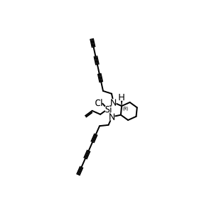 C#CC#CC#CCCN1C2CCCC[C@H]2N(CCC#CC#CC#C)[Si]1(Cl)CC=C